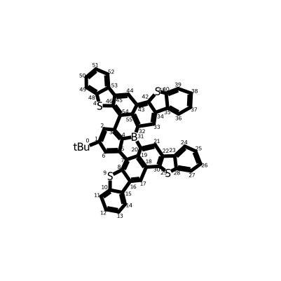 CC(C)(C)c1cc2c3c(c1)-c1c4sc5ccccc5c4cc4c1c(cc1c5ccccc5sc41)B3c1cc3c4ccccc4sc3c3cc4c(sc5ccccc54)c-2c13